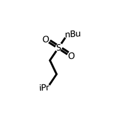 CCCCS(=O)(=O)CCC(C)C